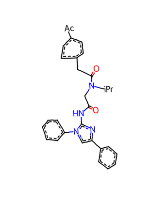 CC(=O)c1ccc(CC(=O)N(CC(=O)Nc2nc(-c3ccccc3)cn2-c2ccccc2)C(C)C)cc1